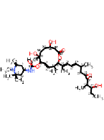 C=C1CC(NC(=O)OC2/C=C/C(C)C(/C(C)=C/C=C/C(C)CC3OC3C(C)C(O)CC)OC(=O)CC(O)CCC2(C)O)CC(C)(C)N1C